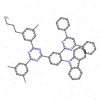 CCCCc1cc(I)cc(-c2nc(-c3cc(I)cc(I)c3)nc(-c3ccc(-n4c5ccccc5c5ccccc54)c(-c4nc(-c5ccccc5)cc(-c5ccccc5)n4)c3)n2)c1